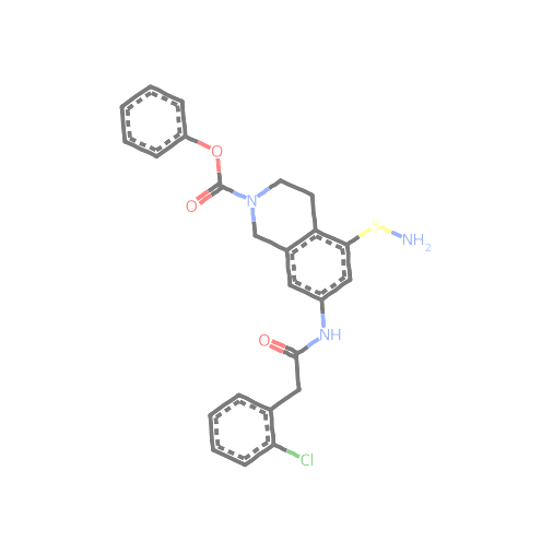 NSc1cc(NC(=O)Cc2ccccc2Cl)cc2c1CCN(C(=O)Oc1ccccc1)C2